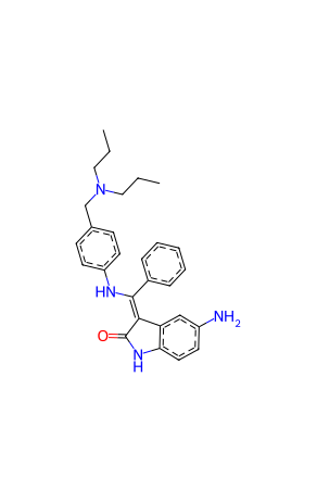 CCCN(CCC)Cc1ccc(N/C(=C2\C(=O)Nc3ccc(N)cc32)c2ccccc2)cc1